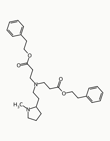 CN1CCCC1CCN(CCC(=O)OCCc1ccccc1)CCC(=O)OCCc1ccccc1